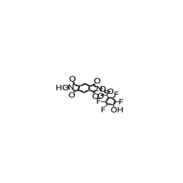 O=c1c2cc3c(=O)n(OS(=O)(=O)c4c(F)c(F)c(O)c(F)c4F)c(=O)c3cc2c(=O)n1O